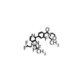 C[C@@H]1CN(C(=O)c2ccc(-c3nccc4c3nc(C(C)(F)F)n4CC(F)F)cc2F)CCO1